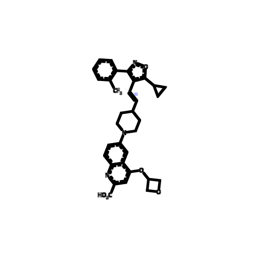 O=C(O)c1cc(OC2COC2)c2cc(N3CCC(/C=C/c4c(-c5ccccc5C(F)(F)F)noc4C4CC4)CC3)ccc2n1